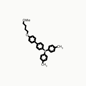 COCCCCOc1ccc(-c2ccc(N(c3ccc(C)cc3)c3ccc(C)cc3)cc2)cc1